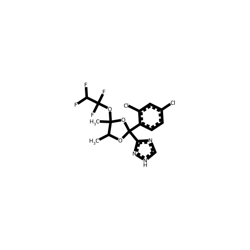 CC1OC(c2nc[nH]n2)(c2ccc(Cl)cc2Cl)OC1(C)OC(F)(F)C(F)F